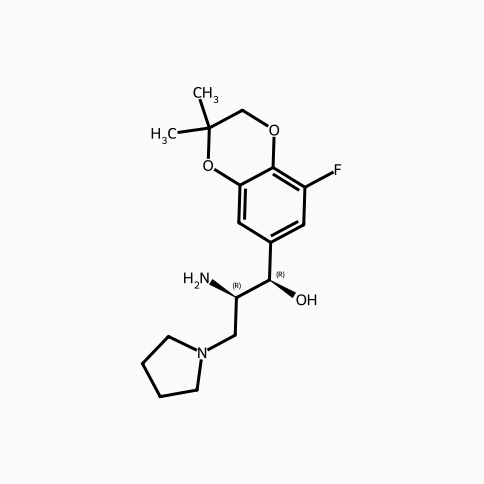 CC1(C)COc2c(F)cc([C@@H](O)[C@H](N)CN3CCCC3)cc2O1